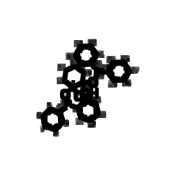 O[C@@]1(OP(c2ccccc2)c2ccccc2)CCCC[C@]1(O)OP(c1ccccc1)c1ccccc1